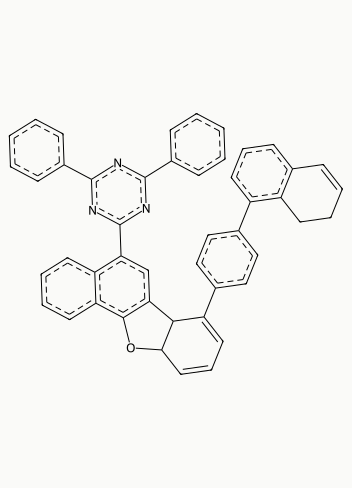 C1=CC2Oc3c(cc(-c4nc(-c5ccccc5)nc(-c5ccccc5)n4)c4ccccc34)C2C(c2ccc(-c3cccc4c3CCC=C4)cc2)=C1